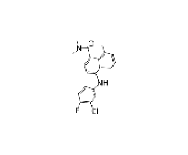 Cc1cccc2c(Nc3ccc(F)c(Cl)c3)ccc(C(=O)N(C)C)c12